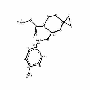 CC(C)(C)OC(=O)N1CCC2(CC2)C[C@H]1CNc1ccc(C(F)(F)F)cn1